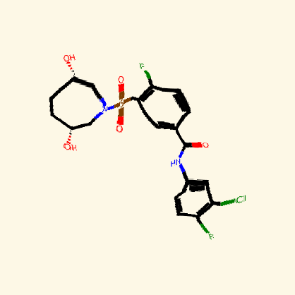 O=C(Nc1ccc(F)c(Cl)c1)c1ccc(F)c(S(=O)(=O)N2C[C@H](O)CC[C@H](O)C2)c1